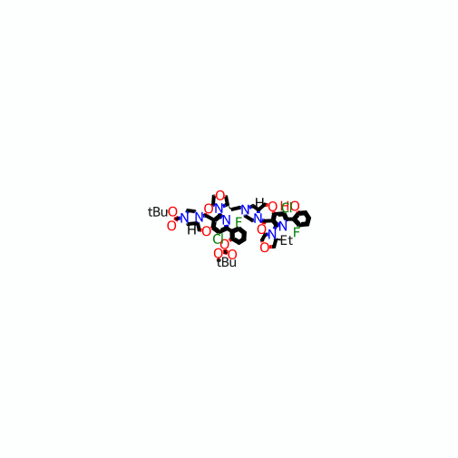 CC[C@H]1COCCN1c1nc(-c2c(O)cccc2F)c(Cl)c2c1C(=O)N1CCN(CC[C@H]3COCCN3c3nc(-c4c(F)cccc4OC(=O)OC(C)(C)C)c(Cl)c4c3C(=O)N3CCN(C(=O)OC(C)(C)C)C[C@@H]3CO4)C[C@@H]1CO2